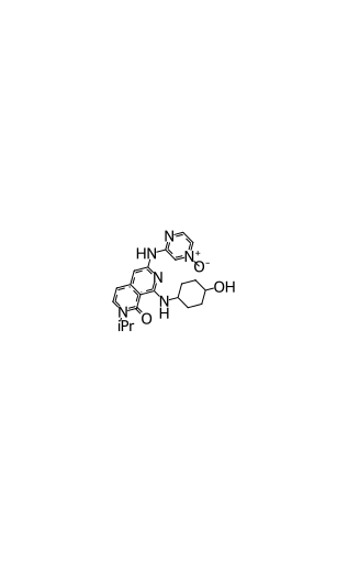 CC(C)n1ccc2cc(Nc3c[n+]([O-])ccn3)nc(NC3CCC(O)CC3)c2c1=O